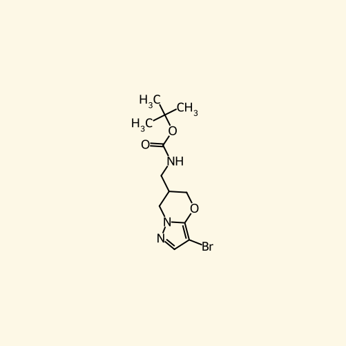 CC(C)(C)OC(=O)NCC1COc2c(Br)cnn2C1